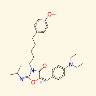 CCN(CC)c1ccc(/C=C2/OC(=NC(C)C)N(CCCCCc3ccc(OC)cc3)C2=O)cc1